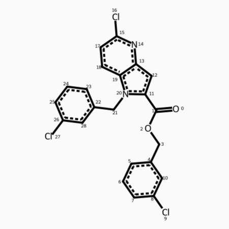 O=C(OCc1cccc(Cl)c1)c1cc2nc(Cl)ccc2n1Cc1cccc(Cl)c1